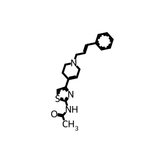 CC(=O)Nc1nc(C2=CCN(CC=Cc3ccccc3)CC2)cs1